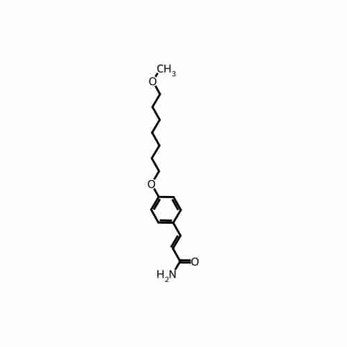 COCCCCCCCOc1ccc(/C=C/C(N)=O)cc1